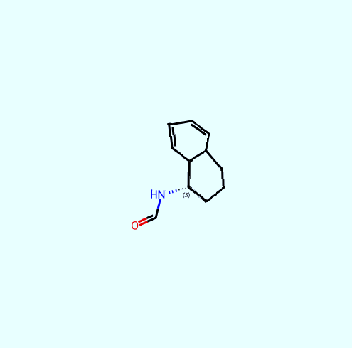 O=CN[C@H]1CCCC2C=CC=CC21